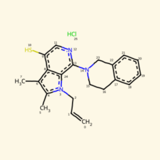 C=CCn1c(C)c(C)c2c(S)cnc(N3CCc4ccccc4C3)c21.Cl